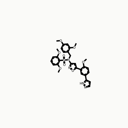 COc1ccc(CN(c2cc(-c3cc(-c4ccn[nH]4)ccc3OC)on2)S(=O)(=O)c2c(OC)cccc2OC)c(OC)c1